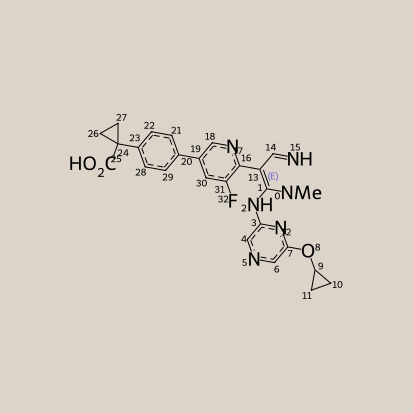 CN/C(Nc1cncc(OC2CC2)n1)=C(\C=N)c1ncc(-c2ccc(C3(C(=O)O)CC3)cc2)cc1F